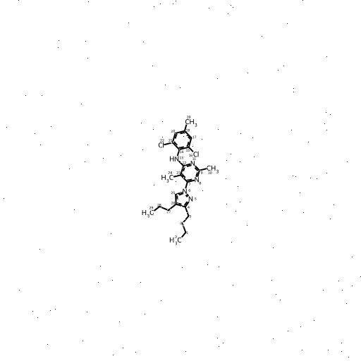 CCCCc1nn(-c2nc(C)nc(Nc3c(Cl)cc(C)cc3Cl)c2C)cc1CCC